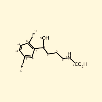 O=C(O)NCCCC(O)c1cc(F)ccc1F